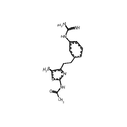 Bc1sc(NC(C)=O)nc1CCc1cccc(NC(=N)N)c1